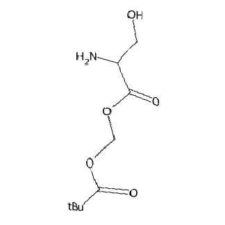 CC(C)(C)C(=O)OCOC(=O)C(N)CO